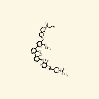 COc1nc(-c2ccnc(-c3cccc(Nc4nccc(CNC5CCN(C(C)=O)CC5)c4F)c3Cl)c2Cl)ccc1CN1CCC2(CCN(C(=O)CCF)C2)C1